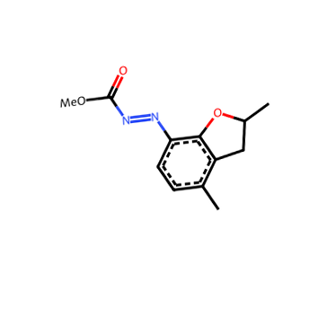 COC(=O)N=Nc1ccc(C)c2c1OC(C)C2